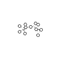 Fc1ccc(-n2c(-c3ccccc3)c(-c3ccccc3)c3cc(-c4ccc(N(c5ccc6c(c5)c5ccccc5n6-c5ccccc5)c5cccc6ccccc56)cc4)c4ccccc4c32)cc1